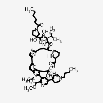 CCC/C=C/C(=O)N1CCC(O)(C(=O)N(C)[C@H](C(=O)N[C@H]2Cc3nc(cs3)-c3ccc4c(c3)c(c(-c3cc(C5=CCN(CCCC)CC5)cnc3[C@H](C)OC)n4CC)CC(C)(C)COC[C@@]3(C=O)CCCN(N3)C2=O)C(C)C)C1